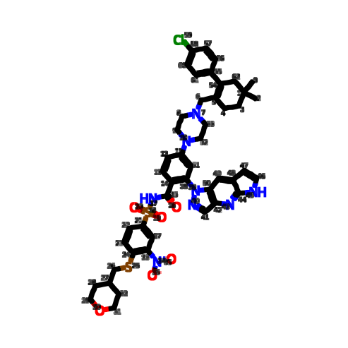 CC1(C)CCC(CN2CCN(c3ccc(C(=O)NS(=O)(=O)c4ccc(SCC5CCOCC5)c([N+](=O)[O-])c4)c(-n4ncc5nc6[nH]ccc6cc54)c3)CC2)=C(c2ccc(Cl)cc2)C1